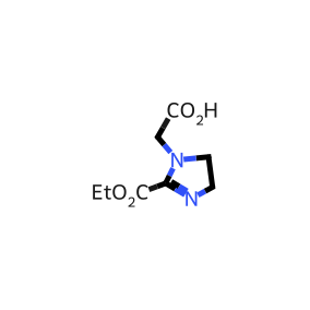 CCOC(=O)C1=NCCN1CC(=O)O